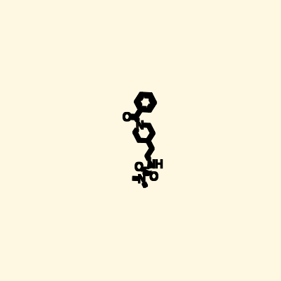 CN(C)S(=O)(=O)NCCC1CCN(C(=O)c2ccccc2)CC1